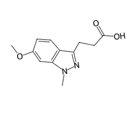 COc1ccc2c(CCC(=O)O)nn(C)c2c1